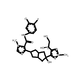 Cn1nc([C@@H](O)CO)c(C2(O)CC3CC(c4ncn(C)c4C(=O)Nc4ccc(F)c(Cl)c4)CC3C2)n1